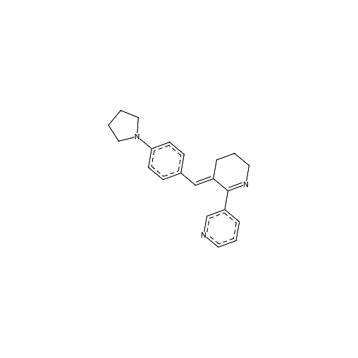 C(=C1CCCN=C1c1cccnc1)c1ccc(N2CCCC2)cc1